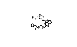 CN(C)CCCNc1nc(CN2CCN(C(=O)Cc3cccs3)CC2)nc2ccccc12